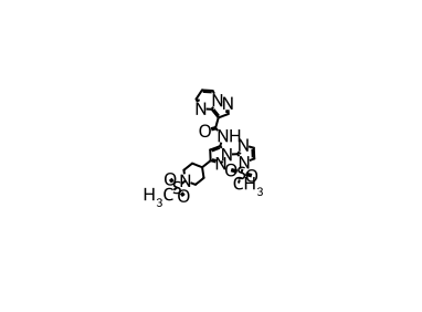 CS(=O)(=O)N1CCC(c2cc(NC(=O)c3cnn4cccnc34)n(-c3nccn3S(C)(=O)=O)n2)CC1